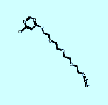 [N-]=[N+]=NCCOCCOCCOCCOc1cc(Cl)ncn1